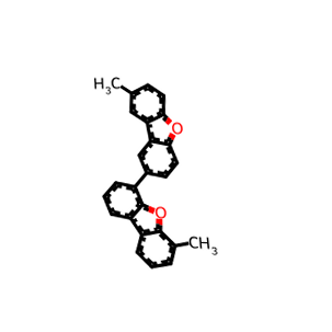 Cc1ccc2oc3ccc(-c4cccc5c4oc4c(C)cccc45)cc3c2c1